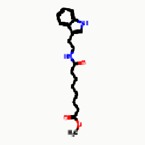 COC(=O)CCCCCCC(=O)NCCc1c[nH]c2ccccc12